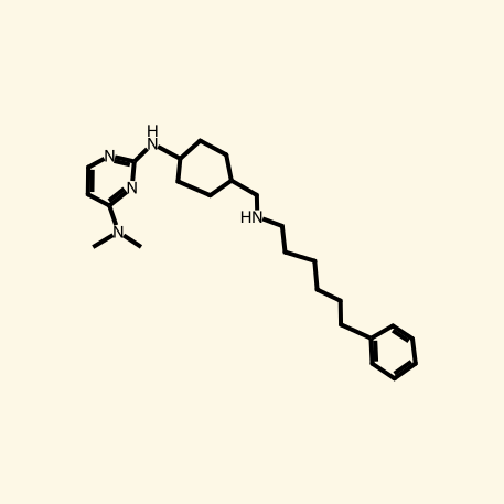 CN(C)c1ccnc(NC2CCC(CNCCCCCCc3ccccc3)CC2)n1